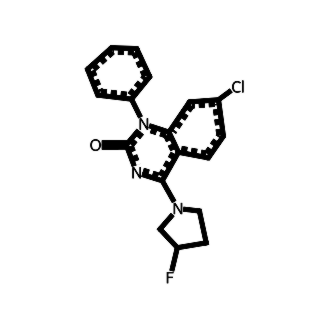 O=c1nc(N2CCC(F)C2)c2ccc(Cl)cc2n1-c1ccccc1